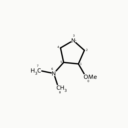 COC1C[N]CC1N(C)C